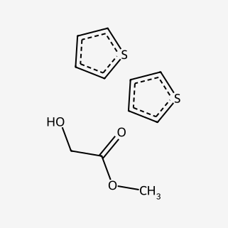 COC(=O)CO.c1ccsc1.c1ccsc1